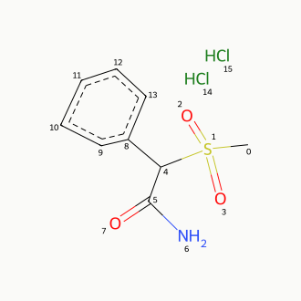 CS(=O)(=O)C(C(N)=O)c1ccccc1.Cl.Cl